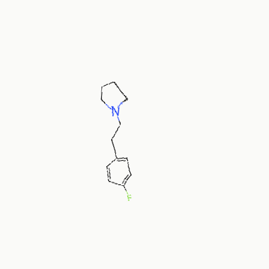 Fc1ccc(CCN2CCCC2)cc1